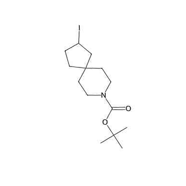 CC(C)(C)OC(=O)N1CCC2(CCC(I)C2)CC1